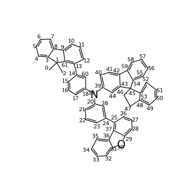 CC1(C)c2ccccc2-c2cccc(-c3cccc(N(c4cccc(-c5cccc6oc7ccccc7c56)c4)c4ccc5c(c4)C4(CCc6ccccc64)c4ccccc4-5)c3)c21